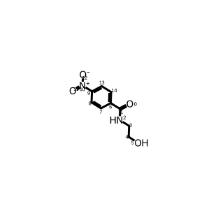 O=C(NCCO)c1ccc([N+](=O)[O-])cc1